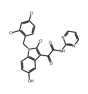 O=C(Nc1ncccn1)C(=O)c1c(Cl)n(Cc2ccc(Cl)cc2Cl)c2ccc(O)cc12